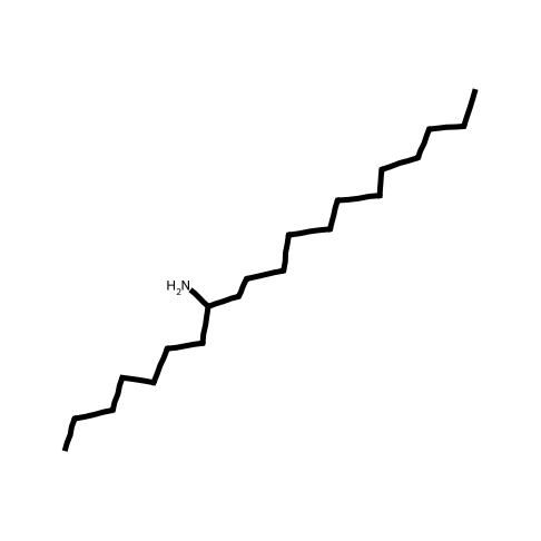 CCCCCCCCCCCCC(N)CCCCCCC